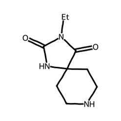 CCN1C(=O)NC2(CCNCC2)C1=O